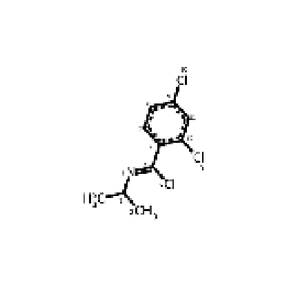 CC(C)N=C(Cl)c1ccc(Cl)cc1Cl